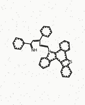 N=C(/C=C(\C=C\n1c2ccccc2c2c3c4ccccc4sc3c3ccccc3c21)c1ccccc1)c1ccccc1